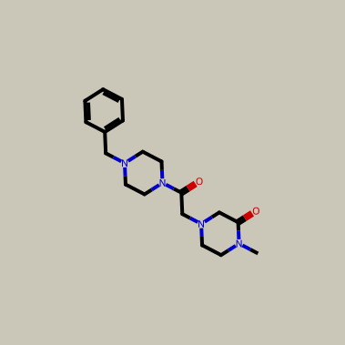 CN1CCN(CC(=O)N2CCN(Cc3ccccc3)CC2)CC1=O